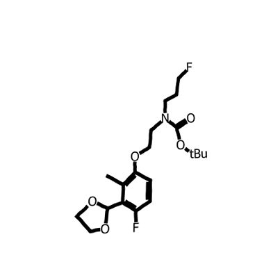 Cc1c(OCCN(CCCF)C(=O)OC(C)(C)C)ccc(F)c1C1OCCO1